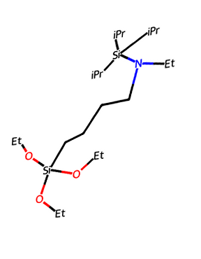 CCO[Si](CCCCN(CC)[Si](C(C)C)(C(C)C)C(C)C)(OCC)OCC